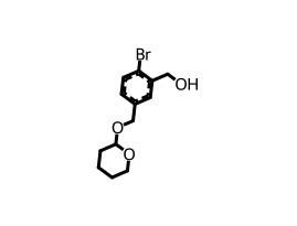 OCc1cc(COC2CCCCO2)ccc1Br